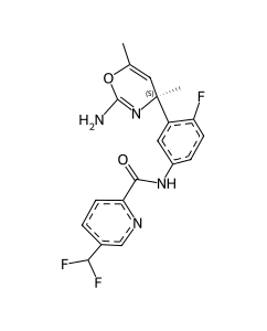 CC1=C[C@@](C)(c2cc(NC(=O)c3ccc(C(F)F)cn3)ccc2F)N=C(N)O1